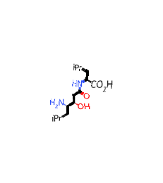 CC(C)C[C@H](NC(=O)C[C@H](O)[C@@H](N)CC(C)C)C(=O)O